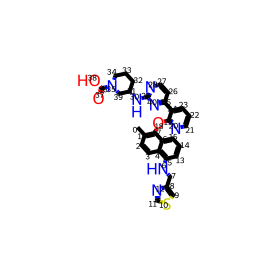 Cc1ccc2c(NCc3cscn3)cccc2c1Oc1ncccc1-c1ccnc(N[C@H]2CCCN(C(=O)O)C2)n1